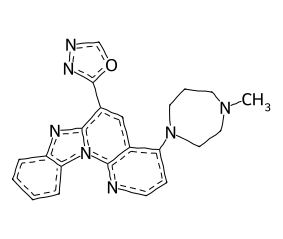 CN1CCCN(c2ccnc3c2cc(-c2nnco2)c2nc4ccccc4n23)CC1